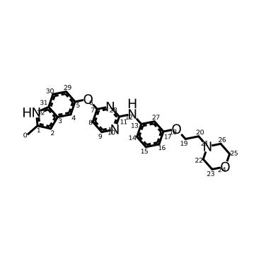 Cc1cc2cc(Oc3ccnc(Nc4cccc(OCCN5CCOCC5)c4)n3)ccc2[nH]1